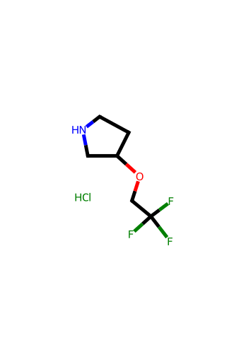 Cl.FC(F)(F)COC1CCNC1